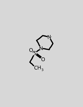 CCS(=O)(=O)N1CC[N]CC1